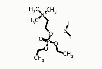 CCOP(=O)(OCC)OCC[N+](C)(C)C.ISI